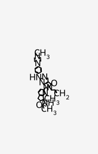 C=CCn1c(=O)c2cnc(Nc3ccc(N4CCN(C)CC4)cc3)nc2n1-c1ccc2c(n1)[C@](C)(NC(C)=O)CC2